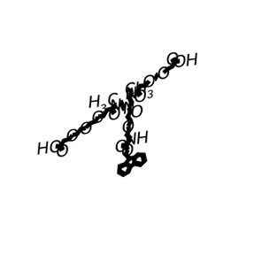 CN(CCN(CCN(C)C(=O)CCOCCOCCC(=O)O)C(=O)CCOCCNC(=O)OCC1c2ccccc2-c2ccccc21)C(=O)CCOCCOCCOCCC(=O)O